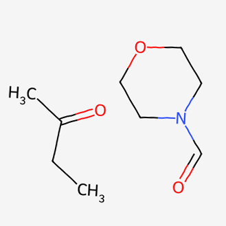 CCC(C)=O.O=CN1CCOCC1